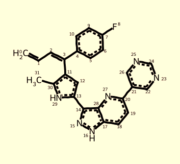 C=C/C=C(/c1ccc(F)cc1)c1cc(-c2n[nH]c3ccc(-c4cncnc4)nc23)[nH]c1C